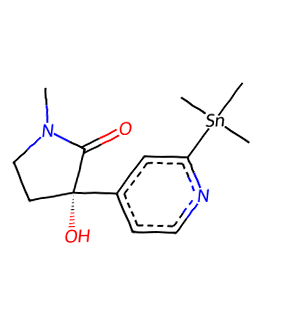 CN1CC[C@](O)(c2ccn[c]([Sn]([CH3])([CH3])[CH3])c2)C1=O